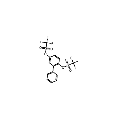 O=S(=O)(Oc1ccc(OS(=O)(=O)C(F)(F)F)c(-c2ccccc2)c1)C(F)(F)F